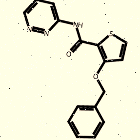 O=C(Nc1cccnn1)c1sccc1OCc1ccccc1